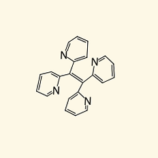 c1ccc(C(=C(c2ccccn2)c2ccccn2)c2ccccn2)nc1